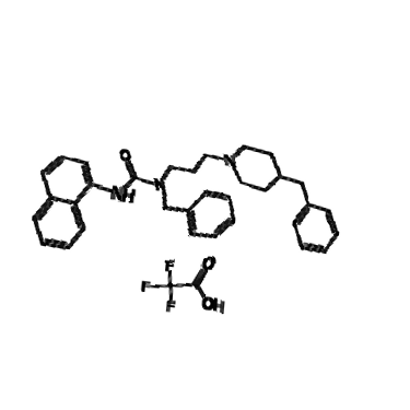 O=C(Nc1cccc2ccccc12)N(CCCN1CCC(Cc2ccccc2)CC1)Cc1ccccc1.O=C(O)C(F)(F)F